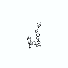 CC(C)OCc1n[nH]c2cc(O)c(C(=O)N3Cc4ccc(OCCN5CCOCC5)cc4C3)cc12